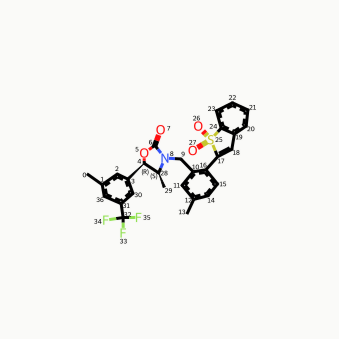 Cc1cc([C@H]2OC(=O)N(Cc3cc(C)ccc3C3=Cc4ccccc4S3(=O)=O)[C@H]2C)cc(C(F)(F)F)c1